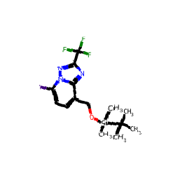 CC(C)(C)[Si](C)(C)OCc1ccc(I)n2nc(C(F)(F)F)nc12